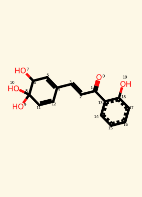 O=C(C=CC1=CC(O)C(O)(O)C=C1)c1ccccc1O